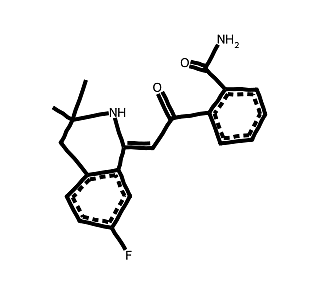 CC1(C)Cc2ccc(F)cc2C(=CC(=O)c2ccccc2C(N)=O)N1